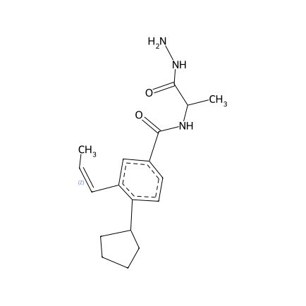 C/C=C\c1cc(C(=O)NC(C)C(=O)NN)ccc1C1CCCC1